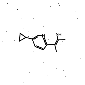 C/C(S)=C(\C)c1ccc(C2CC2)cn1